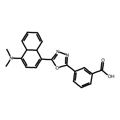 CN(C)C1=CC=C(c2nnc(-c3cccc(C(=O)O)c3)o2)C2C=CC=CC12